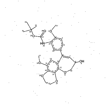 COc1ccc(C2=CC(O)COc3c2cc(OC)c(OC)c3OC)cc1NC(=O)OC(C)(C)C